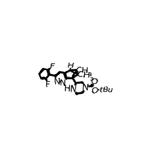 CC(C)(C)OC(=O)N1CCNC(C23CC[C@@H](c4cc(-c5c(F)cccc5F)nnc42)C3(C)C)C1